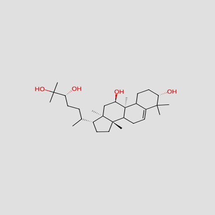 CC(CC[C@@H](O)C(C)(C)O)[C@H]1CC[C@@]2(C)C3CC=C4C(CC[C@H](O)C4(C)C)[C@]3(C)[C@H](O)C[C@]12C